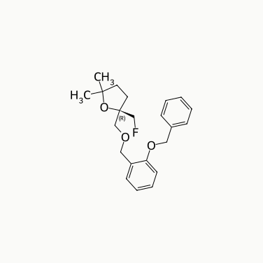 CC1(C)CC[C@](CF)(COCc2ccccc2OCc2ccccc2)O1